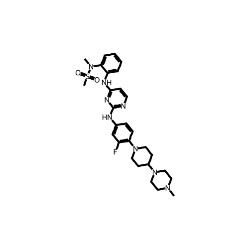 CN1CCN(C2CCN(c3ccc(Nc4nccc(Nc5ccccc5N(C)S(C)(=O)=O)n4)cc3F)CC2)CC1